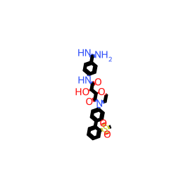 CS(=O)(=O)c1ccccc1-c1ccc(N2CCO[C@H]([C@@H](O)C(=O)Nc3ccc(C(=N)N)cc3)C2=O)cc1